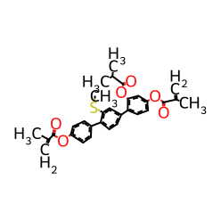 C=C(C)C(=O)Oc1ccc(-c2ccc(-c3ccc(OC(=O)C(=C)C)cc3OC(=O)C(C)C)cc2SC)cc1